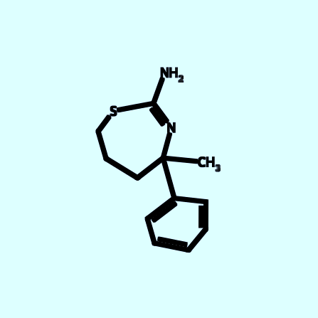 CC1(c2ccccc2)CCCSC(N)=N1